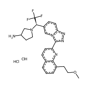 COCCc1cccc2ccc(-c3nnc4ccc([C@@H](N5CCC(N)C5)C(F)(F)F)cn34)nc12.Cl.Cl